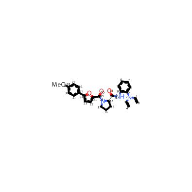 C=CN(C=C)c1ccccc1NC(=O)[C@@H]1CCCN1C(=O)c1ccc(-c2ccc(OC)cc2)o1